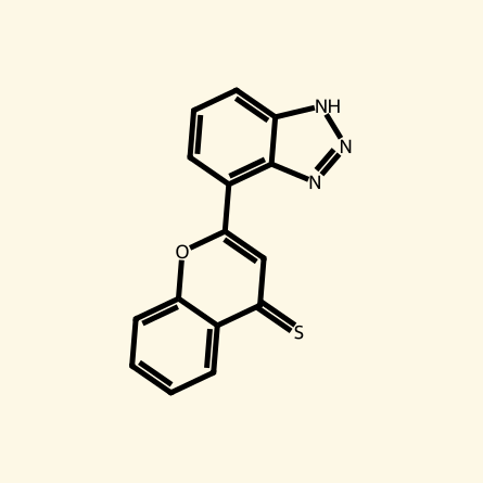 S=c1cc(-c2cccc3[nH]nnc23)oc2ccccc12